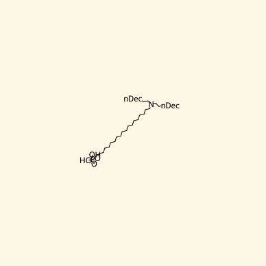 CCCCCCCCCCCCN(CCCCCCCCCCCC)CCCCCCCCCCCCCCCCCCOP(=O)(O)O